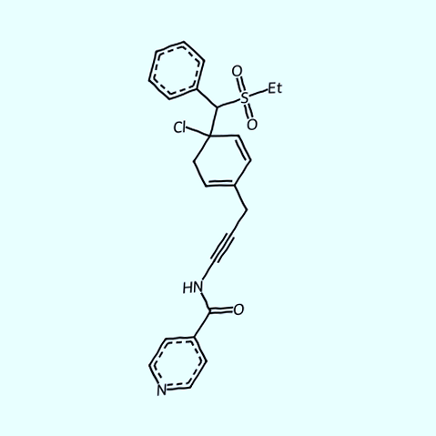 CCS(=O)(=O)C(c1ccccc1)C1(Cl)C=CC(CC#CNC(=O)c2ccncc2)=CC1